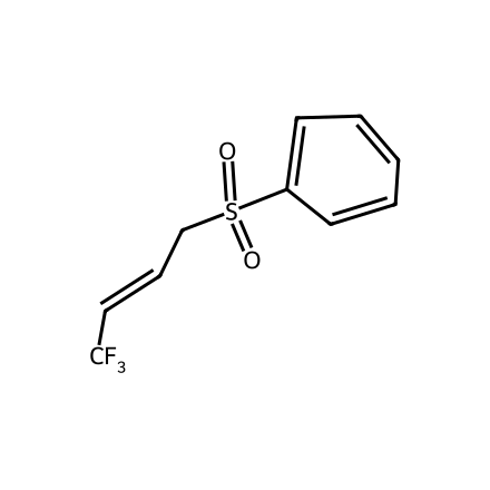 O=S(=O)(C/C=C/C(F)(F)F)c1ccccc1